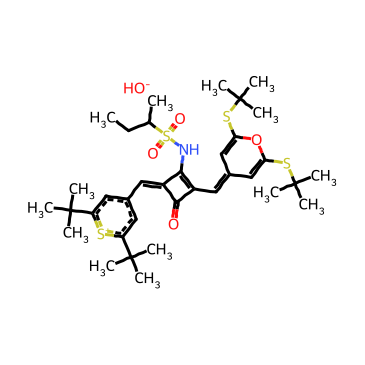 CCC(C)S(=O)(=O)NC1=C(C=C2C=C(SC(C)(C)C)OC(SC(C)(C)C)=C2)C(=O)C1=Cc1cc(C(C)(C)C)[s+]c(C(C)(C)C)c1.[OH-]